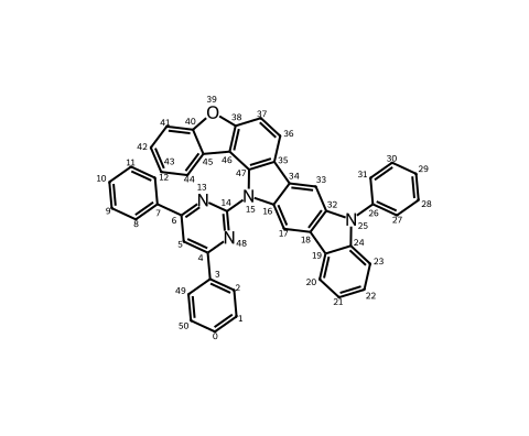 c1ccc(-c2cc(-c3ccccc3)nc(-n3c4cc5c6ccccc6n(-c6ccccc6)c5cc4c4ccc5oc6ccccc6c5c43)n2)cc1